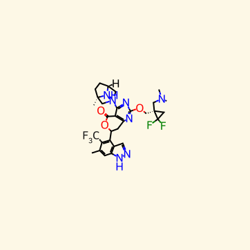 Cc1cc2[nH]ncc2c(C2Cc3nc(OC[C@]4(CN(C)C)CC4(F)F)nc(N4C[C@H]5CC[C@](C)(C4)N5)c3C(=O)O2)c1C(F)(F)F